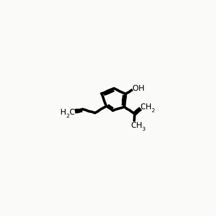 C=CCc1ccc(O)c(C(=C)C)c1